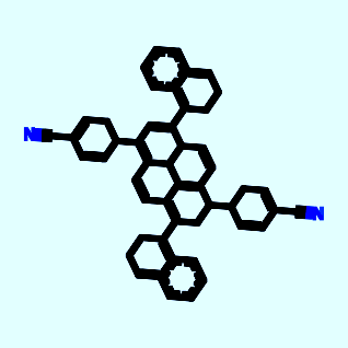 N#CC1=CCC(C2=C3C=CC4=C(C5=c6ccccc6=CCC5)CC(C5C=CC(C#N)=CC5)C5=C4C3C(C=C5)C(C3=c4ccccc4=CCC3)=C2)C=C1